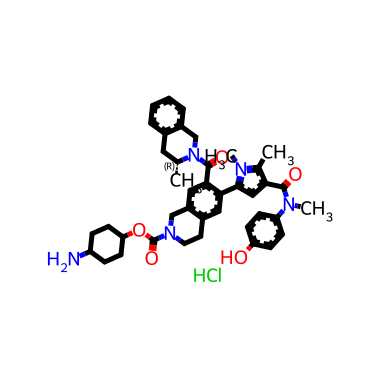 Cc1c(C(=O)N(C)c2ccc(O)cc2)cc(-c2cc3c(cc2C(=O)N2Cc4ccccc4C[C@H]2C)CN(C(=O)OC2CCC(N)CC2)CC3)n1C.Cl